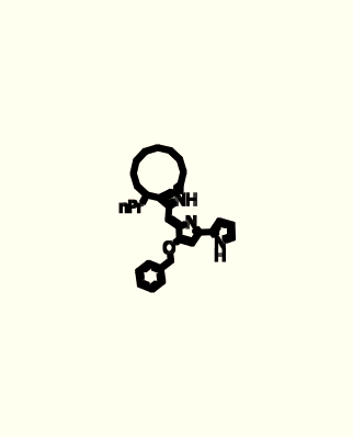 CCCC1CCCCCCCCc2cc1c(C=C1N=C(c3ccc[nH]3)C=C1OCc1ccccc1)[nH]2